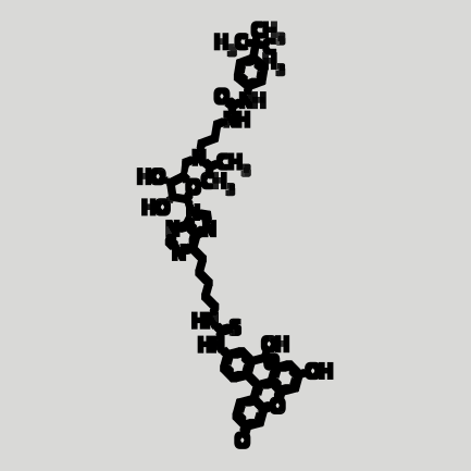 CC(C)N(CCCNC(=O)Nc1ccc(C(C)(C)C)cc1)C[C@H]1O[C@@H](n2cnc3c(CCCCCNC(=S)Nc4ccc(-c5c6ccc(=O)cc-6oc6cc(O)ccc56)c(C(=O)O)c4)ncnc32)[C@H](O)[C@@H]1O